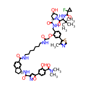 Cc1ncsc1-c1ccc(CNC(=O)[C@@H]2C[C@@H](O)CN2C(=O)[C@@H](NC(=O)C2(F)CC2)C(C)(C)C)c(OCC(=O)NCCCCCCCNC(=O)c2ccc3c(c2)[C@H](NC(=O)c2cc(-c4ccc(C(=O)N(C)C)c(O)c4)on2)CC3)c1